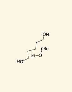 CCCCOCC.OCCCCCO